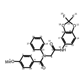 COc1ccc(C(=O)N(CC(=O)Nc2ccc3c(c2)OC(F)(F)O3)c2ccccc2)cc1